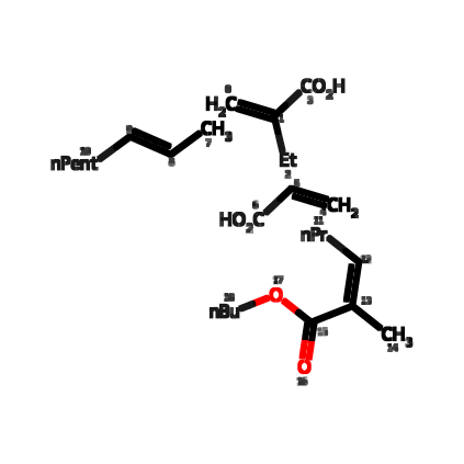 C=C(CC)C(=O)O.C=CC(=O)O.CC=CCCCCC.CCCC=C(C)C(=O)OCCCC